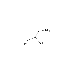 CC(C)CC(S)CN